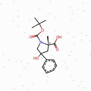 CC(C)(C)OC(=O)N1CC(O)(c2ccccc2)C[C@@]1(C)C(=O)O